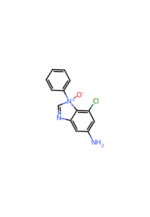 Nc1cc(Cl)c2c(c1)N=C[N+]2([O-])c1ccccc1